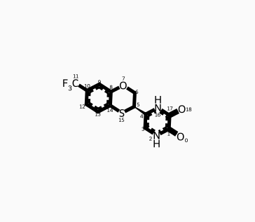 O=c1[nH]cc([C@@H]2COc3cc(C(F)(F)F)ccc3S2)[nH]c1=O